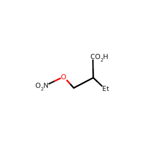 CCC(CO[N+](=O)[O-])C(=O)O